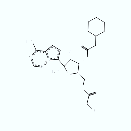 N#C[C@@]1(c2ccc3c(N)ncnn23)O[C@H](COC(=O)CN)[C@@H](OC(=O)CC2CCCCC2)[C@H]1O